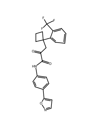 O=C(CC1(c2ccccc2C(F)(F)F)CCC1)C(=O)Nc1ccc(-c2ccno2)cc1